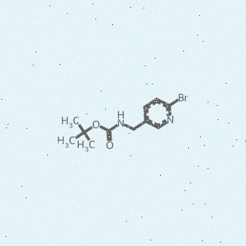 CC(C)(C)OC(=O)NCc1ccc(Br)nc1